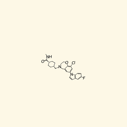 CNC(=O)[C@H]1CC[C@@H](CN2CCOc3c(Cl)cc(-n4ccc5cc(F)ccc54)cc3C2)CC1